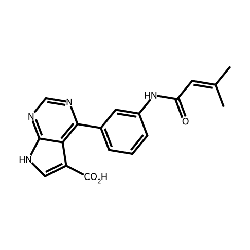 CC(C)=CC(=O)Nc1cccc(-c2ncnc3[nH]cc(C(=O)O)c23)c1